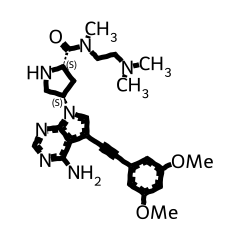 COc1cc(C#Cc2cn([C@@H]3CN[C@H](C(=O)N(C)CCN(C)C)C3)c3ncnc(N)c23)cc(OC)c1